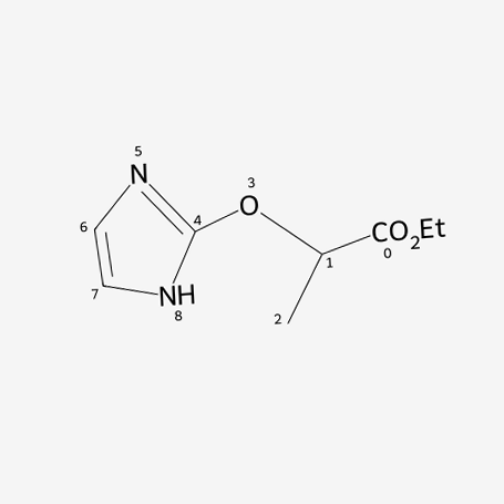 CCOC(=O)C(C)Oc1ncc[nH]1